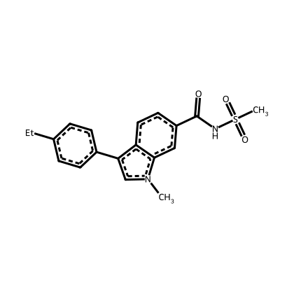 CCc1ccc(-c2cn(C)c3cc(C(=O)NS(C)(=O)=O)ccc23)cc1